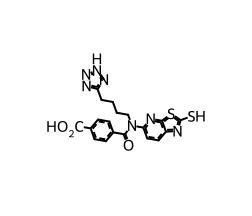 O=C(O)c1ccc(C(=O)N(CCCCc2nn[nH]n2)c2ccc3nc(S)sc3n2)cc1